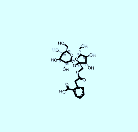 O=C(Cc1ccccc1C(=O)O)OC[C@@]1(O[C@H]2O[C@H](CO)[C@@H](O)[C@H](O)[C@H]2O)O[C@H](CO)[C@@H](O)[C@@H]1O